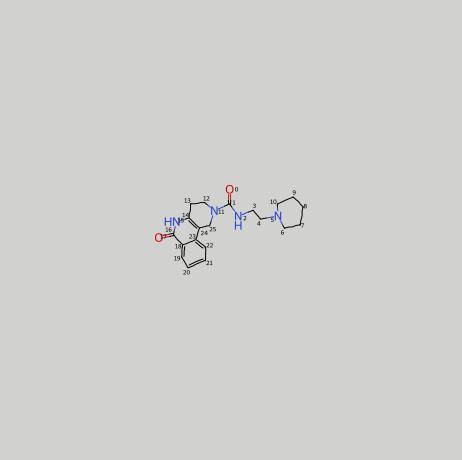 O=C(NCCN1CCCCC1)N1CCc2[nH]c(=O)c3ccccc3c2C1